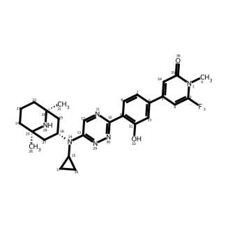 Cn1c(F)cc(-c2ccc(-c3ncc(N(C4CC4)[C@H]4C[C@]5(C)CCC[C@](C)(C4)N5)nn3)c(O)c2)cc1=O